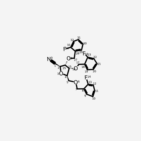 N#C[C@@H]1O[C@H](COCc2ccccc2F)[C@@H](OCc2ccccc2F)[C@H]1OCc1ccccc1F